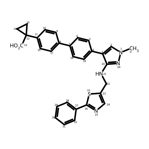 Cn1cc(-c2ccc(-c3ccc(C4(C(=O)O)CC4)cc3)cc2)c(NCc2cnc(-c3ccccc3)s2)n1